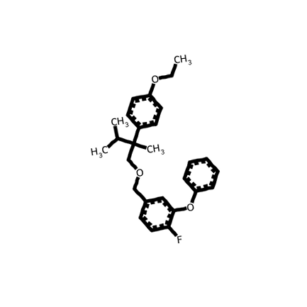 CCOc1ccc(C(C)(COCc2ccc(F)c(Oc3ccccc3)c2)C(C)C)cc1